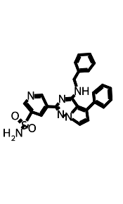 NS(=O)(=O)c1cncc(-c2nc(NCc3ccccc3)c3c(-c4ccccc4)ccn3n2)c1